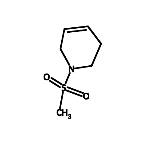 CS(=O)(=O)N1CC=CCC1